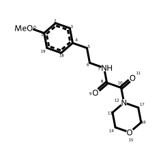 COc1ccc(CCNC(=O)C(=O)N2CCOCC2)cc1